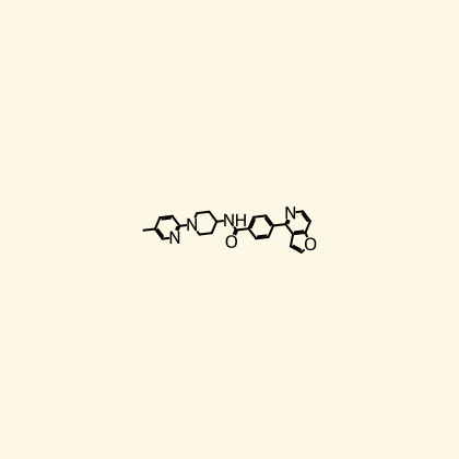 Cc1ccc(N2CCC(NC(=O)c3ccc(-c4nccc5occc45)cc3)CC2)nc1